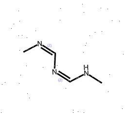 C/N=C\N=C/NC